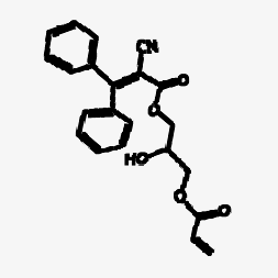 C=CC(=O)OCC(O)COC(=O)C(C#N)=C(c1ccccc1)c1ccccc1